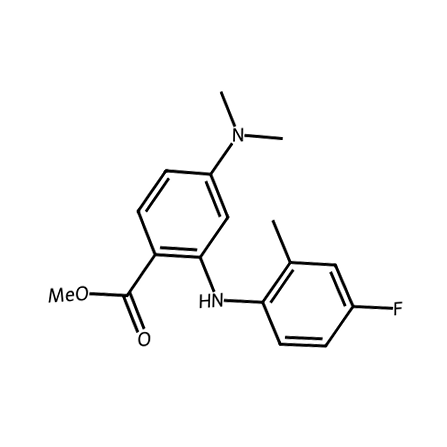 COC(=O)c1ccc(N(C)C)cc1Nc1ccc(F)cc1C